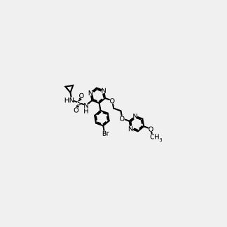 COc1cnc(OCCOc2ncnc(NS(=O)(=O)NC3CC3)c2-c2ccc(Br)cc2)nc1